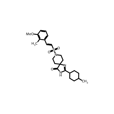 COc1cccc(C=CS(=O)(=O)N2CCC3(CC2)N=C(C2CCC(C)CC2)NC3=O)c1C